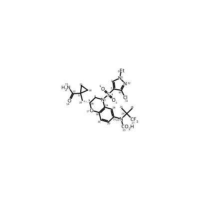 CCn1cc(S(=O)(=O)N2C[C@@H](CC3(C(N)=O)CC3)Oc3ccc(N(C(=O)O)C(C)(C)C(F)(F)F)cc32)c(Cl)n1